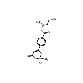 CN(CCO)OC(=O)c1ccc(C2=CC(=O)CC(C)(C)C2)cc1